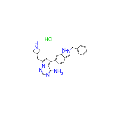 Cl.Nc1ncnn2c(CC3CNC3)cc(-c3ccc4cn(Cc5ccccc5)nc4c3)c12